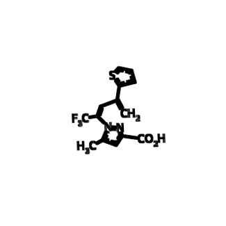 C=C(/C=C(\n1nc(C(=O)O)cc1C)C(F)(F)F)c1cccs1